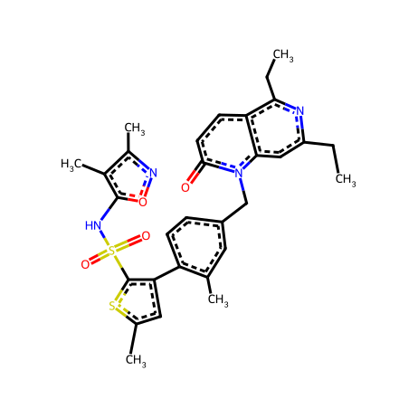 CCc1cc2c(ccc(=O)n2Cc2ccc(-c3cc(C)sc3S(=O)(=O)Nc3onc(C)c3C)c(C)c2)c(CC)n1